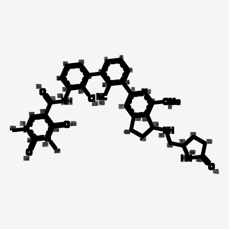 COc1nc(-c2cccc(-c3cccc(NC(=O)c4cn(C)c(=O)n(C)c4=O)c3Cl)c2C#N)cc2c1C(NCC1CCC(=O)N1)CC2